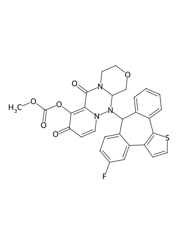 COC(=O)Oc1c2n(ccc1=O)N(C1c3ccc(F)cc3-c3ccsc3-c3ccccc31)C1COCCN1C2=O